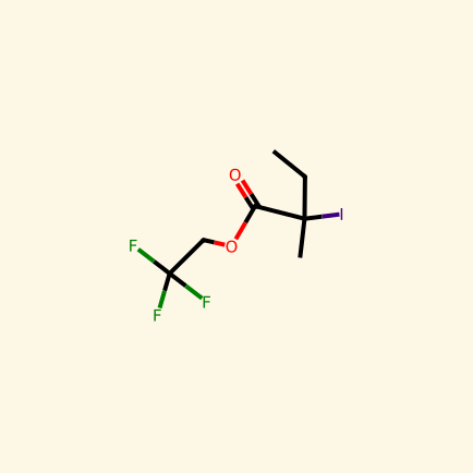 CCC(C)(I)C(=O)OCC(F)(F)F